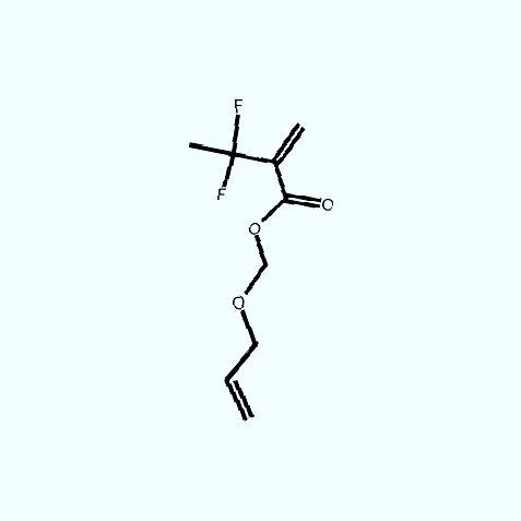 C=CCOCOC(=O)C(=C)C(C)(F)F